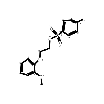 COc1ccccc1OCCOS(=O)(=O)c1ccc(C)cc1